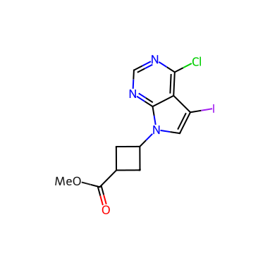 COC(=O)C1CC(n2cc(I)c3c(Cl)ncnc32)C1